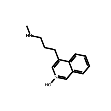 CNCCCc1c[n+](O)cc2ccccc12